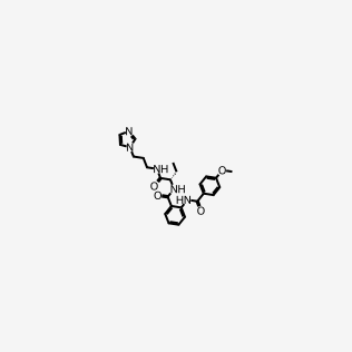 CC[C@H](NC(=O)c1ccccc1NC(=O)c1ccc(OC)cc1)C(=O)NCCCn1ccnc1